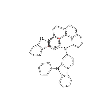 c1ccc(-n2c3ccccc3c3ccc(N(c4ccc5oc6ccccc6c5c4)c4cccc5ccc6ccc7ccccc7c6c45)cc32)cc1